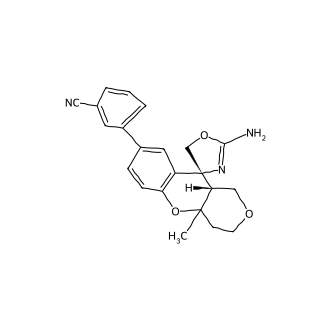 CC12CCOC[C@H]1[C@]1(COC(N)=N1)c1cc(-c3cccc(C#N)c3)ccc1O2